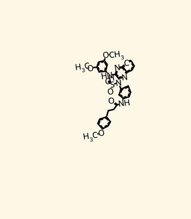 COc1ccc(CCC(=O)Nc2cccc(N(c3nc4ccccc4nc3Nc3cc(OC)cc(OC)c3)[SH](=O)=O)c2)cc1